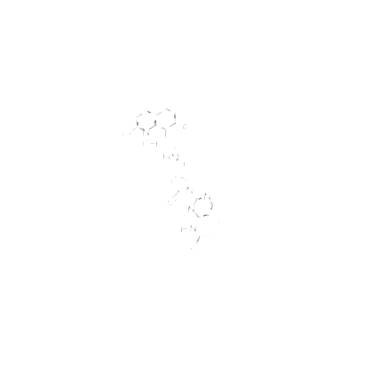 Cn1c(=O)ccc2ccc(F)c(CCNC[C@H]3CN(c4ncc5c(n4)NC(=O)CO5)C(=O)O3)c21